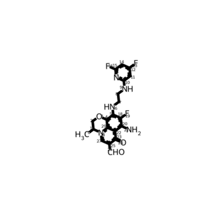 CC1COc2c(NCCNc3cc(F)cc(F)n3)c(F)c(N)c3c(=O)c(C=O)cn1c23